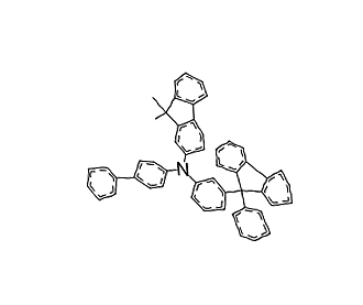 CC1(C)c2ccccc2-c2ccc(N(c3ccc(-c4ccccc4)cc3)c3cccc(C4(c5ccccc5)c5ccccc5-c5ccccc54)c3)cc21